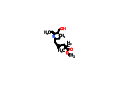 C/C=C(CCO)\N=C(/CC)CC1CC1CC(C)(C)C(=O)OC